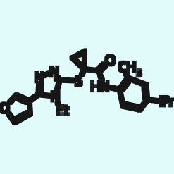 CCn1c(SC2(C(=O)Nc3ccc(C(C)C)cc3C)CC2)nnc1-c1ccoc1